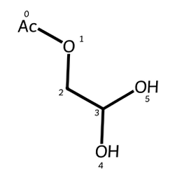 CC(=O)OCC(O)O